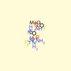 COc1ccc(F)cc1C(=O)NCc1ccc(-c2nn(C(CF)CF)c(N)c2C(N)=O)c2cn[nH]c12